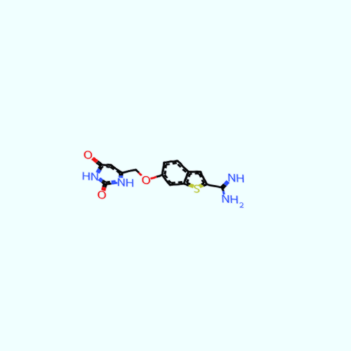 N=C(N)c1cc2ccc(OCc3cc(=O)[nH]c(=O)[nH]3)cc2s1